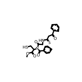 COC(=O)C(CS)N(C(=O)CNC(=S)CC(=O)c1ccccc1)C(=O)c1ccccc1